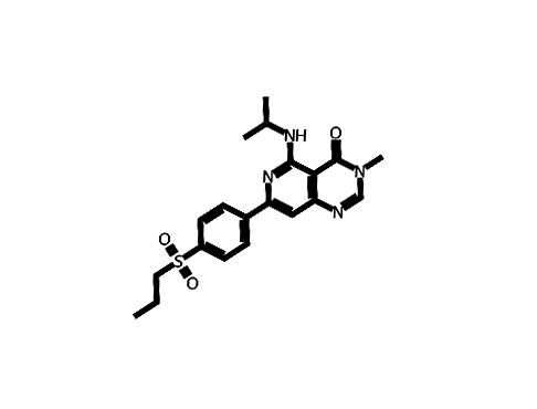 CCCS(=O)(=O)c1ccc(-c2cc3ncn(C)c(=O)c3c(NC(C)C)n2)cc1